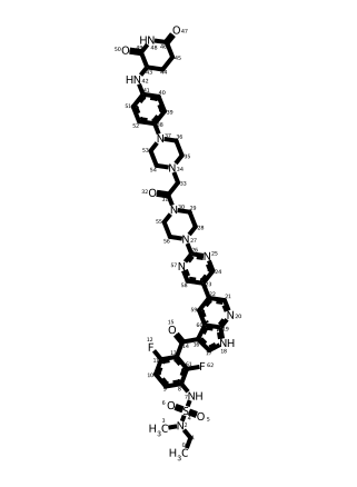 CCN(C)S(=O)(=O)Nc1ccc(F)c(C(=O)c2c[nH]c3ncc(-c4cnc(N5CCN(C(=O)CN6CCN(c7ccc(NC8CCC(=O)NC8=O)cc7)CC6)CC5)nc4)cc23)c1F